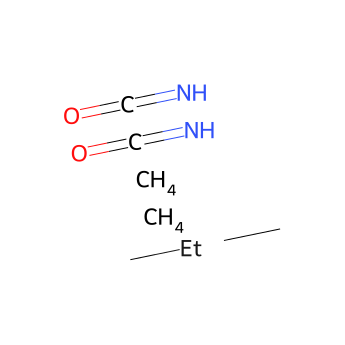 C.C.CC.CCC.N=C=O.N=C=O